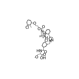 COCC(NC(=O)c1ccc(Cl)c(Cn2cc(-c3cccc4c3[C@H]3C[C@H]3CN4C(=O)OCCOc3cccc(Cl)c3C)cn2)c1)C(=O)O